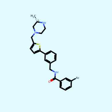 CC(=O)c1cccc(C(=O)NCc2cccc(-c3ccc(CN4CCN[C@@H](C)C4)s3)c2)c1